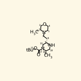 C[C@@H]1COCCN1CC[C@H]1CN(C(=O)OC(C)(C)C)[C@H](C)CN1